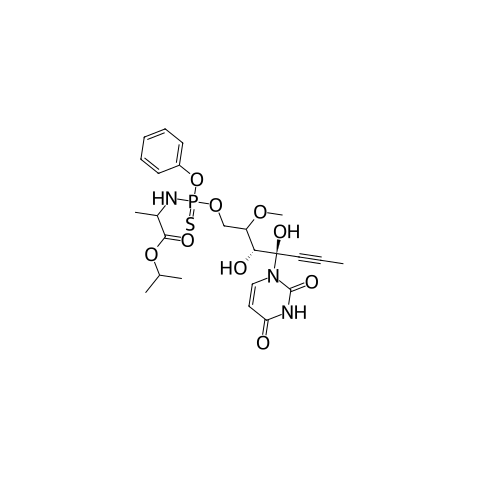 CC#C[C@@](O)([C@H](O)C(COP(=S)(NC(C)C(=O)OC(C)C)Oc1ccccc1)OC)n1ccc(=O)[nH]c1=O